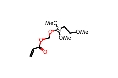 C=CC(=O)OCO[Si](CCOC)(OC)OC